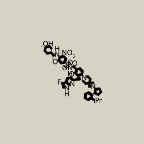 C#Cc1nc2[nH]cc(F)c2cc1Oc1cc(N2CCC3(CC2)CN([C@@H]2CCC[C@@H]2c2ccccc2C(C)C)C3)ccc1C(=O)NS(=O)(=O)c1cc2c(c([N+](=O)[O-])c1)N[C@@H]([C@H]1CC[C@](C)(O)CC1)CO2